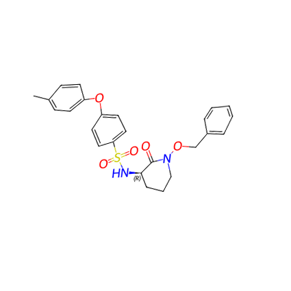 Cc1ccc(Oc2ccc(S(=O)(=O)N[C@@H]3CCCN(OCc4ccccc4)C3=O)cc2)cc1